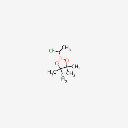 CC(Cl)B1OC(C)(C)C(C)(C)O1